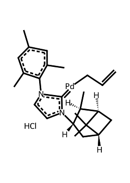 C=C[CH2]/[Pd]=[c]1\n(-c2c(C)cc(C)cc2C)ccn1[C@H]1C[C@H]2C[C@H]([C@@H]1C)C2(C)C.Cl